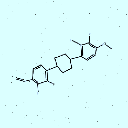 C=Cc1ccc(C2CCC(c3ccc(OC)c(F)c3F)CC2)c(F)c1F